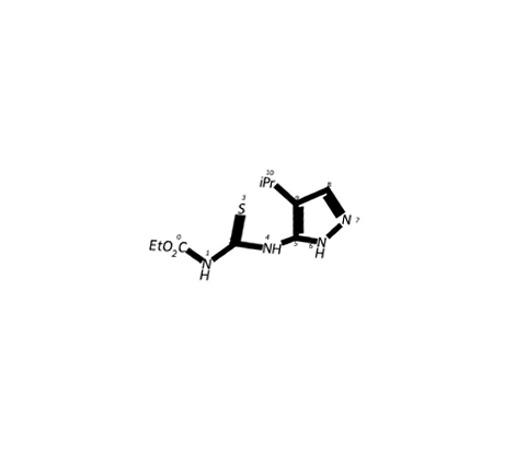 CCOC(=O)NC(=S)Nc1[nH]ncc1C(C)C